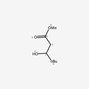 CCCCC(O)CC(=O)OC